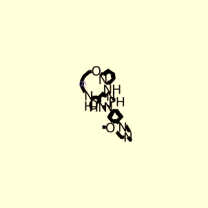 COc1cc(-n2[nH]cc3c(n[pH]2)Nc2cccc(n2)OCC/C=C\CNC3=O)ccc1N1CCN(C)CC1